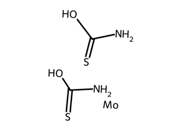 NC(O)=S.NC(O)=S.[Mo]